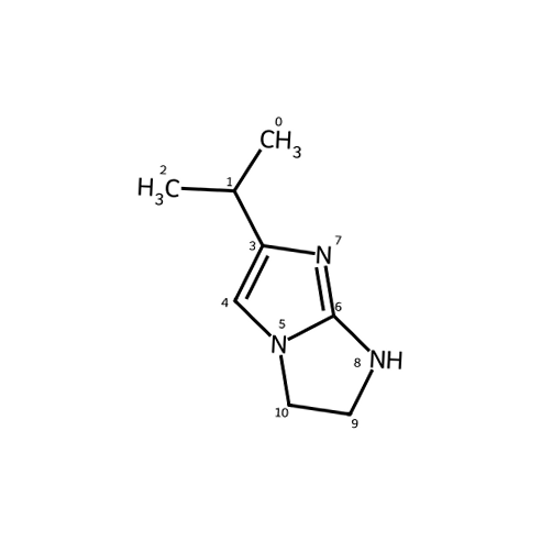 CC(C)c1cn2c(n1)NCC2